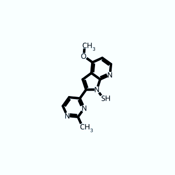 COc1ccnc2c1cc(-c1ccnc(C)n1)n2S